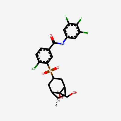 C[C@H]1CC2CC(S(=O)(=O)c3cc(C(=O)Nc4cc(F)c(F)c(F)c4)ccc3Cl)CC1[C@@]2(O)CO